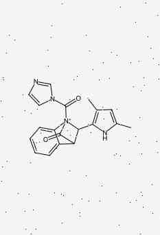 Cc1cc(C)c(C2C3C(=O)[N+]2(C(=O)n2ccnc2)c2ccccc23)[nH]1